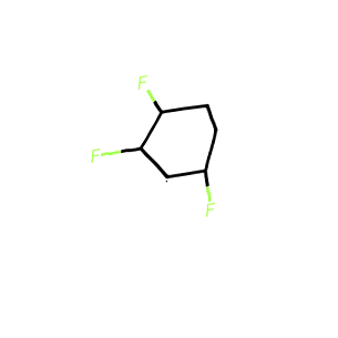 FC1[CH]C(F)C(F)CC1